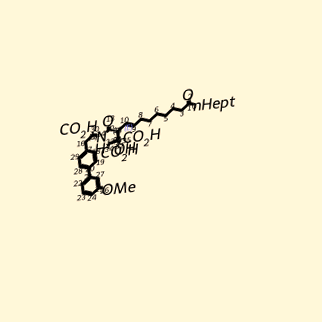 CCCCCCCC(=O)CCCCCC/C=C/[C@H](C(=O)N[C@@H](Cc1ccc(-c2cccc(OC)c2)cc1)C(=O)O)[C@@](O)(CC(=O)O)C(=O)O